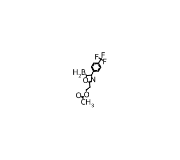 BC1OC(CCOC(C)=O)=NC1c1ccc(C(F)(F)F)cc1